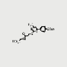 COc1ccc(-c2cc(C(F)(F)F)nc(SCCC(=O)NCC(=O)O)n2)cc1